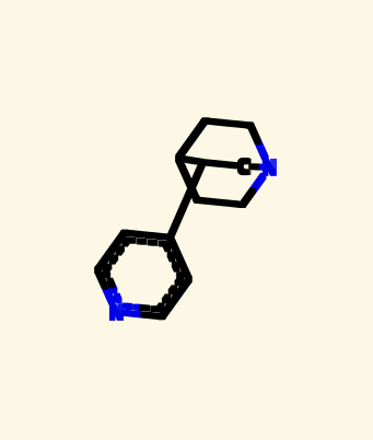 c1cc(C2CN3CCC2CC3)ccn1